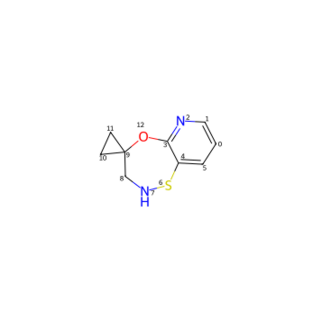 c1cnc2c(c1)SNCC1(CC1)O2